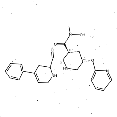 CN(O)C(=O)[C@H]1C[C@H](Oc2ccccn2)CN[C@@H]1C(=O)C1CC(c2ccccc2)=CCN1